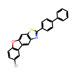 Clc1ccc2oc3cc4sc(-c5ccc(-c6ccccc6)cc5)nc4cc3c2c1